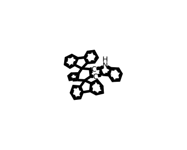 c1ccc2c(c1)-c1ccccc1C21c2ccccc2C2(c3ccccc3-c3ccccc32)c2cc3c(cc21)[nH]c1ccccc13